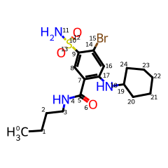 CCCCNC(=O)c1cc(S(N)(=O)=O)c(Br)cc1NC1CCCCC1